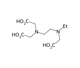 CCN(CCN(CC(=O)O)CC(=O)O)CC(=O)O